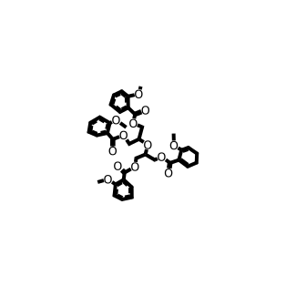 COC1=CCCC=C1C(=O)OCC(COC(=O)c1ccccc1OC)OC(COC(=O)c1ccccc1OC)COC(=O)c1ccccc1OC